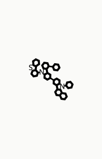 c1ccc(-c2cccc3c2c2cc(-c4ccc5c(c4)c4ccc6ccccc6c4n5-c4ccccc4)ccc2n3-c2cccc3sc4ccccc4c23)cc1